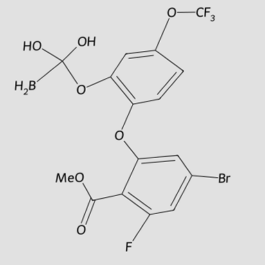 BC(O)(O)Oc1cc(OC(F)(F)F)ccc1Oc1cc(Br)cc(F)c1C(=O)OC